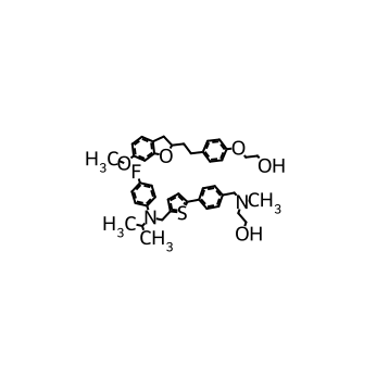 CC(C)N(Cc1ccc(-c2ccc(CN(C)CCO)cc2)s1)c1ccc(F)cc1.COc1ccc2c(c1)OC(CCc1ccc(OCCO)cc1)C2